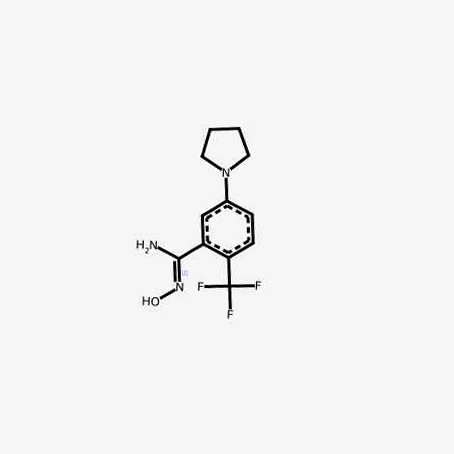 N/C(=N\O)c1cc(N2CCCC2)ccc1C(F)(F)F